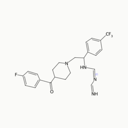 N=C/N=C\NC(CN1CCC(C(=O)c2ccc(F)cc2)CC1)c1ccc(C(F)(F)F)cc1